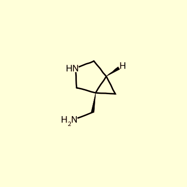 NC[C@@]12CNC[C@@H]1C2